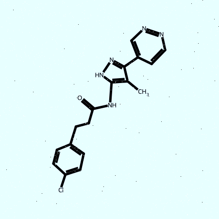 Cc1c(-c2ccnnc2)n[nH]c1NC(=O)CCc1ccc(Cl)cc1